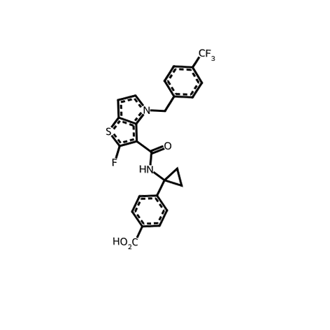 O=C(O)c1ccc(C2(NC(=O)c3c(F)sc4ccn(Cc5ccc(C(F)(F)F)cc5)c34)CC2)cc1